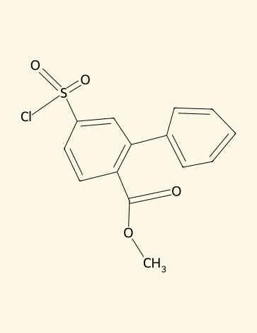 COC(=O)c1ccc(S(=O)(=O)Cl)cc1-c1ccccc1